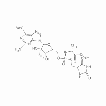 COc1nc(N)nc2c1ncn2[C@@H]1O[C@H](CO[P@](=O)(N[C@H](C)C(=O)OC(C)C)SCC2NC(=O)NC2=O)[C@@H](O)[C@@]1(C)O